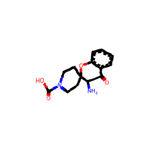 NC1C(=O)c2ccccc2OC12CCN(C(=O)O)CC2